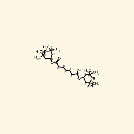 CC1(C)CC(OC(=O)CCCCCC(=O)OC2CC(C)(C)NC(C)(C)C2)CC(C)(C)N1